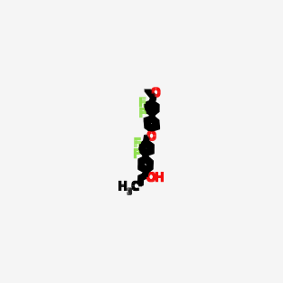 CCCC(O)c1ccc(-c2ccc(COc3ccc(-c4ccc(C5CO5)c(F)c4F)cc3)c(F)c2F)cc1